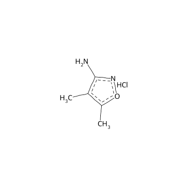 Cc1onc(N)c1C.Cl